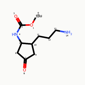 CC(C)(C)OC(=O)NC1CC(=O)CC1CCCN